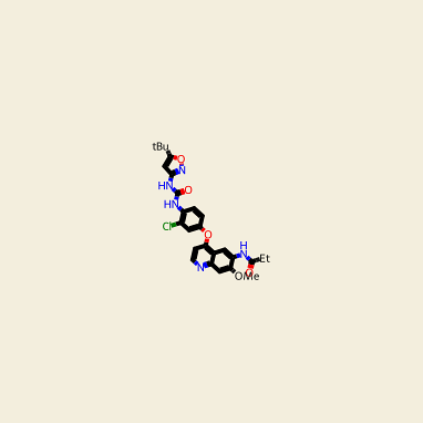 CCC(=O)Nc1cc2c(Oc3ccc(NC(=O)Nc4cc(C(C)(C)C)on4)c(Cl)c3)ccnc2cc1OC